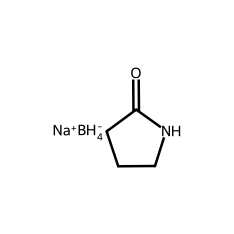 O=C1CCCN1.[BH4-].[Na+]